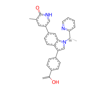 C=C(O)c1ccc(-c2cn([C@@H](C)c3ccccn3)c3cc(-c4c[nH]c(=O)c(C)c4)ccc23)cc1